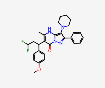 COc1ccc(C(CC(F)F)c2c(C)[nH]c3c(N4CCCCC4)c(-c4ccccc4)nn3c2=O)cc1